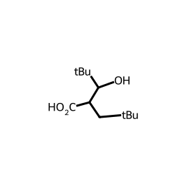 CC(C)(C)CC(C(=O)O)C(O)C(C)(C)C